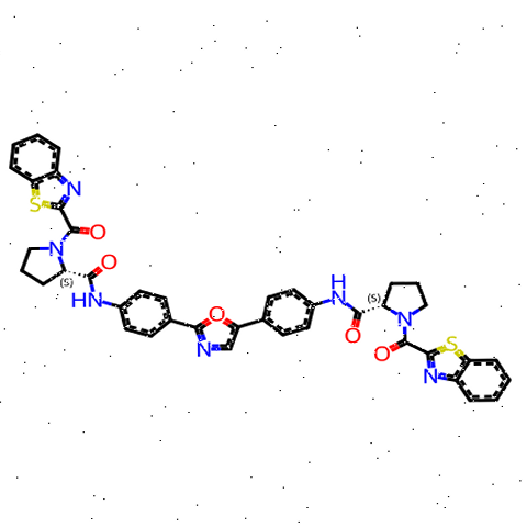 O=C(Nc1ccc(-c2cnc(-c3ccc(NC(=O)[C@@H]4CCCN4C(=O)c4nc5ccccc5s4)cc3)o2)cc1)[C@@H]1CCCN1C(=O)c1nc2ccccc2s1